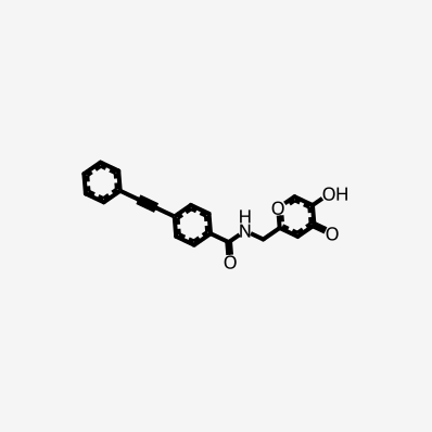 O=C(NCc1cc(=O)c(O)co1)c1ccc(C#Cc2ccccc2)cc1